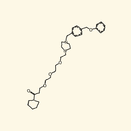 O=C(CCOCCOCCOCCN1CCN(Cc2ccc(COc3ccccc3)cc2)CC1)C1CCCCC1